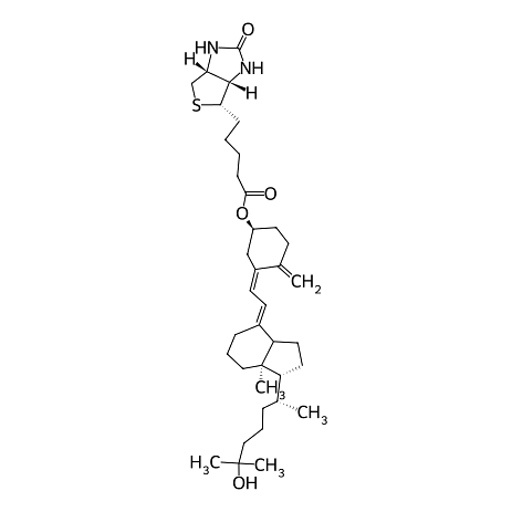 C=C1CC[C@H](OC(=O)CCCC[C@@H]2SC[C@@H]3NC(=O)N[C@@H]32)C/C1=C/C=C1CCC[C@@]2(C)C1CC[C@@H]2[C@H](C)CCCC(C)(C)O